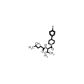 CC(C)CCC(=O)N[C@@H](C(=O)N1CCC(c2ccc(F)cc2)CC1)C(C)C